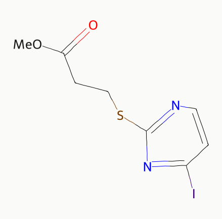 COC(=O)CCSc1nccc(I)n1